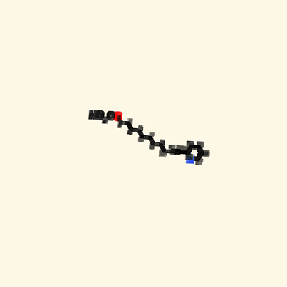 O=C(O)OCCCCCCCCCC#Cc1ccccn1